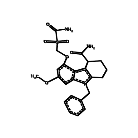 COc1cc(OCS(=O)(=O)C(N)=O)c2c3c(n(Cc4ccccc4)c2c1)CCCC3C(N)=O